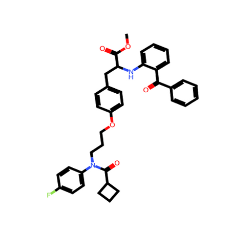 COC(=O)C(Cc1ccc(OCCCN(C(=O)C2CCC2)c2ccc(F)cc2)cc1)Nc1ccccc1C(=O)c1ccccc1